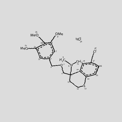 COc1cc(COCC2(N(C)C)CCSc3ccc(Cl)cc32)cc(OC)c1OC.Cl